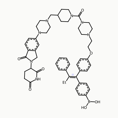 CC/C(=C(/c1ccc(OCCN2CCN(C(=O)N3CCC(CN4CCN(c5ccc6c(c5)CN(C5CCC(=O)NC5=O)C6=O)CC4)CC3)CC2)cc1)c1ccc(B(O)O)cc1)c1ccccc1